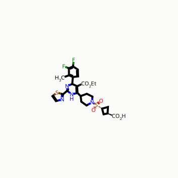 CCOC(=O)C1=C(C2CCN(S(=O)(=O)[C@H]3C[C@H](C(=O)O)C3)CC2)NC(c2nccs2)=NC1c1ccc(F)c(F)c1C